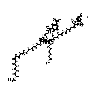 CCCCCCCC/C=C\CCCCCCCCCCCC(=O)N[N+](C)(C)CCC.CCCCCCCC/C=C\CCCCCCCCCCCC(=O)N[N+](C)(C)CCC.O=C([O-])c1cccc(C(=O)[O-])c1